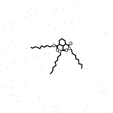 CCCCCCCCOC(=O)C1CCCC(C(=O)OCCCCCCCC)C1C(=O)OCCCCCCCC